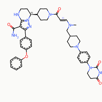 CN(/C=C/C(=O)N1CCC([C@@H]2CCNc3c(C(N)=O)c(-c4ccc(Oc5ccccc5)cc4)nn32)CC1)CC1CCN(c2ccc(N3CCC(=O)NC3=O)cc2)CC1